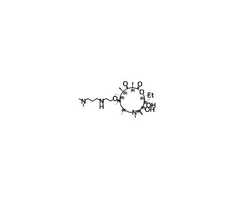 CC[C@H]1OC(=O)[C@H](C)C(=O)[C@H](C)[C@@H](C)[C@](C)(OCCNCCCN(C)C)C[C@@H](C)CN(C)[C@H](C)[C@@H](O)[C@]1(C)O